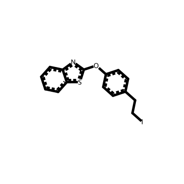 ICCc1ccc(Oc2nc3ccccc3s2)cc1